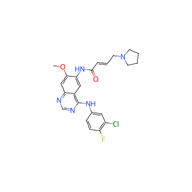 COc1cc2ncnc(Nc3ccc(F)c(Cl)c3)c2cc1NC(=O)C=CCN1CCCC1